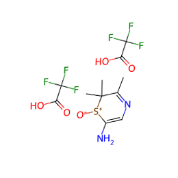 CC1=NC=C(N)[S+]([O-])C1(C)C.O=C(O)C(F)(F)F.O=C(O)C(F)(F)F